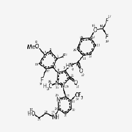 COc1cc(F)c(-c2c(NC(=O)c3ccc(OC(F)F)cc3)c(=O)n(-c3nc(NCCO)ccc3C(F)(F)F)n2C)c(F)c1